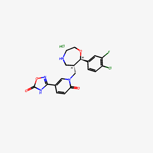 Cl.O=c1[nH]c(-c2ccc(=O)n(C[C@@H]3CNCCO[C@H]3c3ccc(Cl)c(F)c3)c2)no1